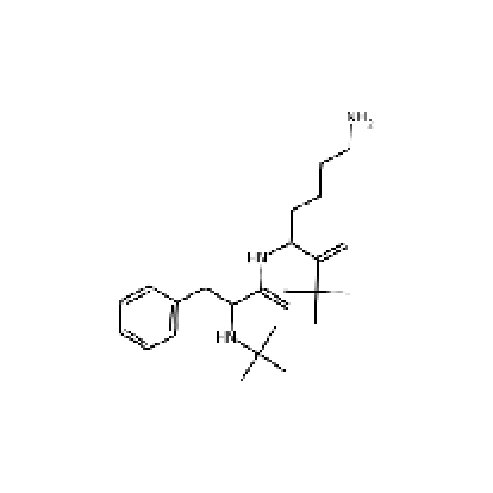 C=C(NC(CCCCN)C(=C)C(C)(C)C)C(Cc1ccccc1)NC(C)(C)C